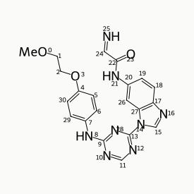 COCCOc1ccc(Nc2ncnc(-n3cnc4ccc(NC(=O)C=N)cc43)n2)cc1